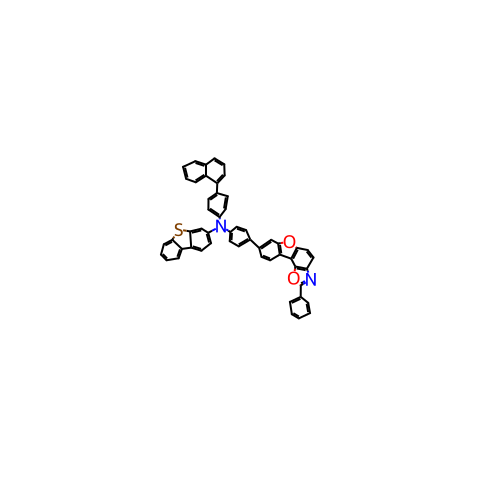 c1ccc(-c2nc3ccc4oc5cc(-c6ccc(N(c7ccc(-c8cccc9ccccc89)cc7)c7ccc8c(c7)sc7ccccc78)cc6)ccc5c4c3o2)cc1